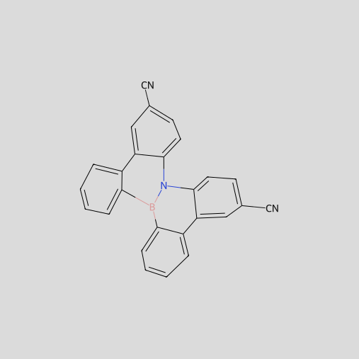 N#Cc1ccc2c(c1)-c1ccccc1B1c3ccccc3-c3cc(C#N)ccc3N12